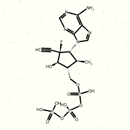 C#C[C@@]1(F)[C@H](O)[C@@H](COP(=O)(O)OP(=O)(O)OP(=O)(O)O)[C@H](C)[C@H]1n1cnc2c(N)ncnc21